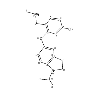 CNCc1ccc(Cl)cc1Oc1ccc2c(c1)CCN2C(C)C